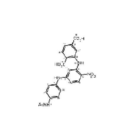 CC(=O)Nc1ccc(Nc2ncc([N+](=O)[O-])c(Nc3cc(C(=O)O)ccc3C(=O)O)n2)cc1